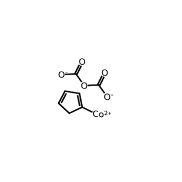 O=C([O-])OC(=O)[O-].[Co+2][C]1=CC=CC1